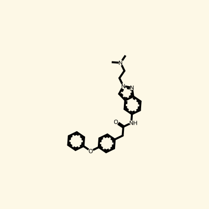 CN(C)CCn1cc2cc(NC(=O)Cc3ccc(Oc4ccccc4)cc3)ccc2n1